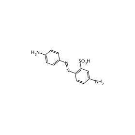 Nc1ccc(/N=N/c2ccc(N)cc2S(=O)(=O)O)cc1